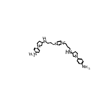 Nc1ccc(N2CCC(NCCCn3cc[n+](CCCNC4CCN(c5ccc(N)cc5)C4)c3)C2)cc1